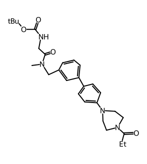 CCC(=O)N1CCN(c2ccc(-c3cccc(CN(C)C(=O)CNC(=O)OC(C)(C)C)c3)cc2)CC1